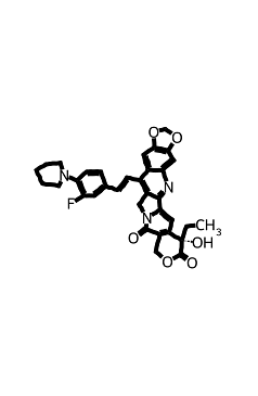 CC[C@@]1(O)C(=O)OCc2c1cc1n(c2=O)Cc2c-1nc1cc3c(cc1c2/C=C/c1ccc(N2CCCCC2)c(F)c1)OCO3